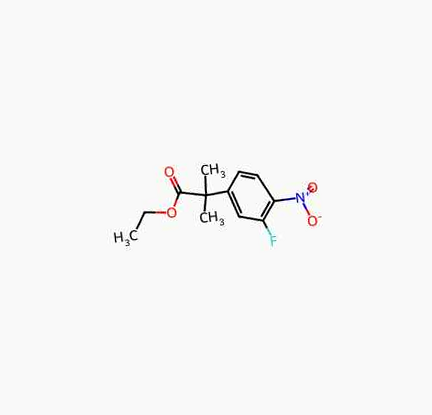 CCOC(=O)C(C)(C)c1ccc([N+](=O)[O-])c(F)c1